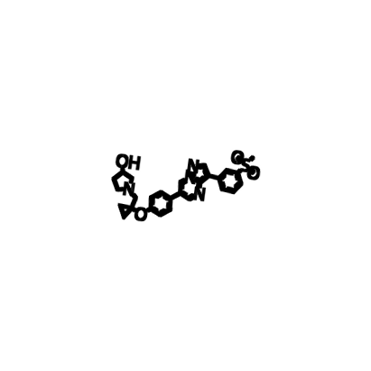 CS(=O)(=O)c1cccc(-c2cnn3cc(-c4ccc(OC5(CN6CCC(O)C6)CC5)cc4)cnc23)c1